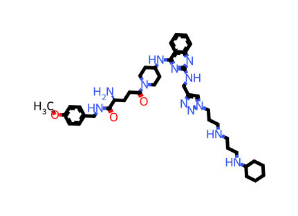 COc1ccc(CNC(=O)[C@@H](N)CCC(=O)N2CCC(Nc3nc(NCc4cn(CCCNCCCNC5CCCCC5)nn4)nc4ccccc34)CC2)cc1